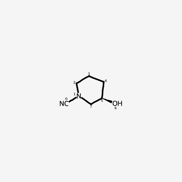 N#CN1CCC[C@@H](O)C1